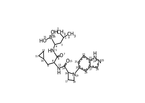 CC(C)CC(NC(=O)C(CC1CC1)NC(=O)C1CCN1c1ccc2[nH]ncc2c1)B(O)O